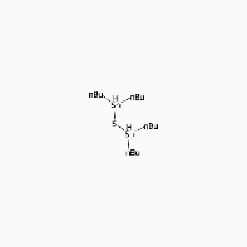 CCC[CH2][SnH]([CH2]CCC)[S][SnH]([CH2]CCC)[CH2]CCC